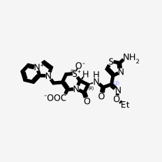 CCO/N=C(\C(=O)N[C@@H]1C(=O)N2C(C(=O)[O-])=C(Cn3cc[n+]4ccccc34)C[S@+]([O-])[C@@H]12)c1csc(N)n1